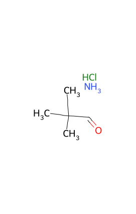 CC(C)(C)C=O.Cl.N